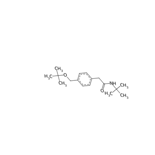 CC(C)(C)NC(=O)Cc1ccc(COC(C)(C)C)cc1